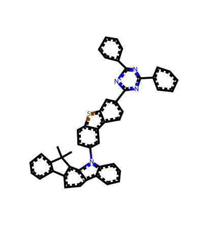 CC1(C)c2ccccc2-c2ccc3c4ccccc4n(-c4ccc5sc6cc(-c7nc(-c8ccccc8)nc(-c8ccccc8)n7)ccc6c5c4)c3c21